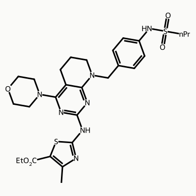 CCCS(=O)(=O)Nc1ccc(CN2CCCc3c(N4CCOCC4)nc(Nc4nc(C)c(C(=O)OCC)s4)nc32)cc1